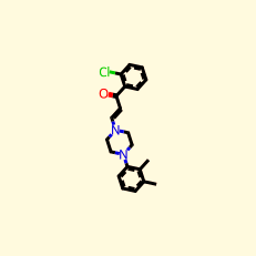 Cc1cccc(N2CCN(C=CC(=O)c3ccccc3Cl)CC2)c1C